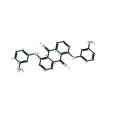 Nc1cccc(Sc2cccc3c2C(=O)c2cccc(Sc4cccc(N)c4)c2C3=O)c1